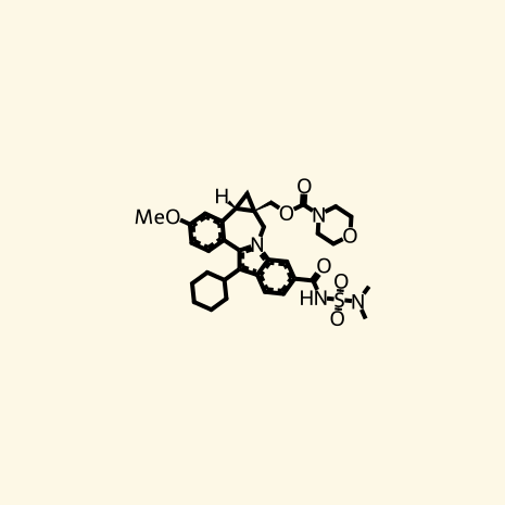 COc1ccc2c(c1)[C@@H]1C[C@]1(COC(=O)N1CCOCC1)Cn1c-2c(C2CCCCC2)c2ccc(C(=O)NS(=O)(=O)N(C)C)cc21